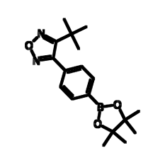 CC(C)(C)c1nonc1-c1ccc(B2OC(C)(C)C(C)(C)O2)cc1